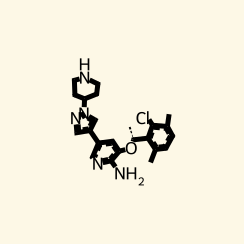 Cc1ccc(C)c([C@@H](C)Oc2cc(-c3cnn(C4CCNCC4)c3)cnc2N)c1Cl